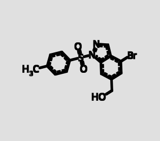 Cc1ccc(S(=O)(=O)n2ncc3c(Br)cc(CO)cc32)cc1